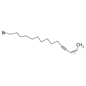 C/C=C\C#CCCCCCCCCCCBr